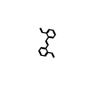 C=Cc1ccccc1/C=C/c1ccccc1C=C